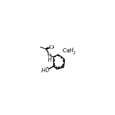 CC(=O)Nc1ccccc1O.[CaH2]